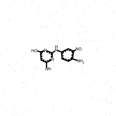 CCCc1cc(O)nc(Nc2ccc(N)c(N=O)c2)n1